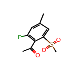 CC(=O)c1c(F)cc(C)cc1S(C)(=O)=O